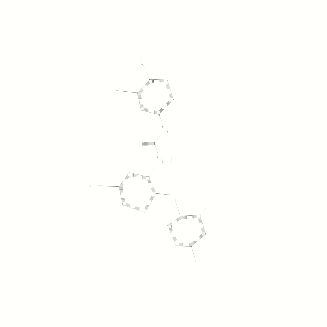 O=C(Nc1ccc(Cl)c(Cl)c1)Nc1cc(Cl)ccc1Oc1ccc(Cl)cc1S(=O)(=O)O